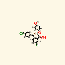 COc1ccc(OC(SC(c2ccc(Cl)cc2)c2ccc(Cl)cc2)C(C)O)cc1